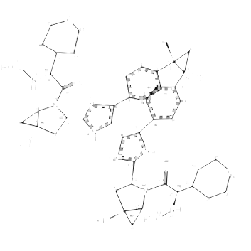 C[C@@]1(c2ccc(-c3c[nH]c([C@@H]4C[C@H]5CC5N4C(=O)[C@H](NC(=O)O)C4CCOCC4)n3)cc2)C[C@@]1(C)c1ccc(-c2c[nH]c([C@@H]3C[C@H]4CC4N3C(=O)[C@H](NC(=O)O)C3CCOCC3)n2)cc1